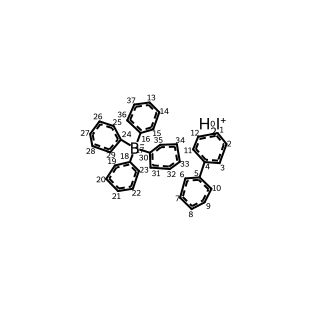 [IH2+].c1ccc(-c2ccccc2)cc1.c1ccc([B-](c2ccccc2)(c2ccccc2)c2ccccc2)cc1